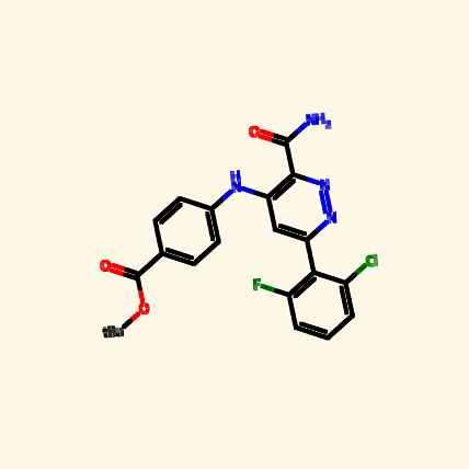 CC(C)(C)OC(=O)c1ccc(Nc2cc(-c3c(F)cccc3Cl)nnc2C(N)=O)cc1